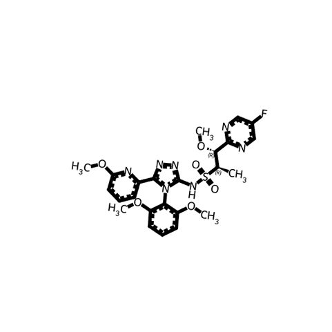 COc1cccc(-c2nnc(NS(=O)(=O)[C@H](C)[C@H](OC)c3ncc(F)cn3)n2-c2c(OC)cccc2OC)n1